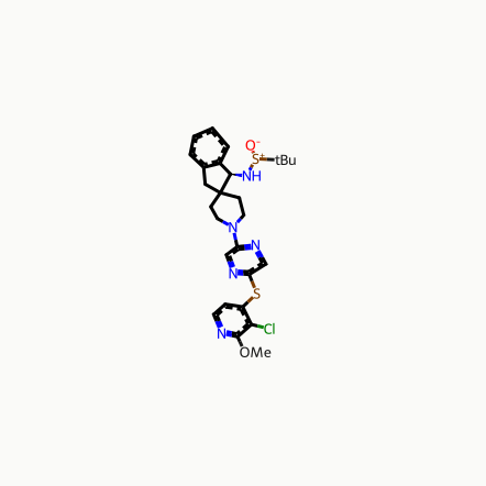 COc1nccc(Sc2cnc(N3CCC4(CC3)Cc3ccccc3[C@H]4N[S+]([O-])C(C)(C)C)cn2)c1Cl